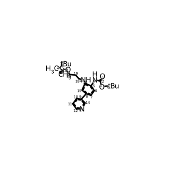 CC(C)(C)OC(=O)Nc1ccc(-c2cccnc2)cc1NCCCO[Si](C)(C)C(C)(C)C